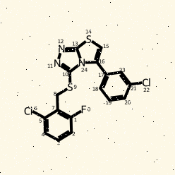 Fc1cccc(Cl)c1CSc1nnc2scc(-c3cccc(Cl)c3)n12